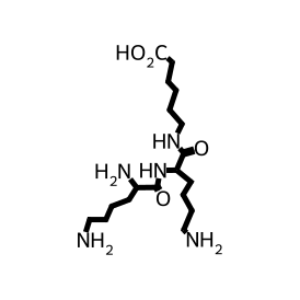 NCCCCC(N)C(=O)NC(CCCCN)C(=O)NCCCCCC(=O)O